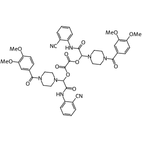 COc1ccc(C(=O)N2CCN(C(OC(=O)C(=O)OC(C(=O)Nc3ccccc3C#N)N3CCN(C(=O)c4ccc(OC)c(OC)c4)CC3)C(=O)Nc3ccccc3C#N)CC2)cc1OC